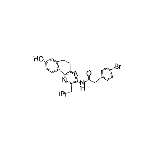 CC(C)Cc1nc2c(nc1NC(=O)Cc1ccc(Br)cc1)CCc1cc(O)ccc1-2